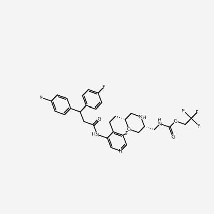 O=C(CC(c1ccc(F)cc1)c1ccc(F)cc1)Nc1cncc(F)c1CC[C@@H]1CN[C@H](CNC(=O)OCC(F)(F)F)CO1